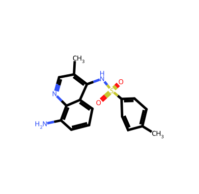 Cc1ccc(S(=O)(=O)Nc2c(C)cnc3c(N)cccc23)cc1